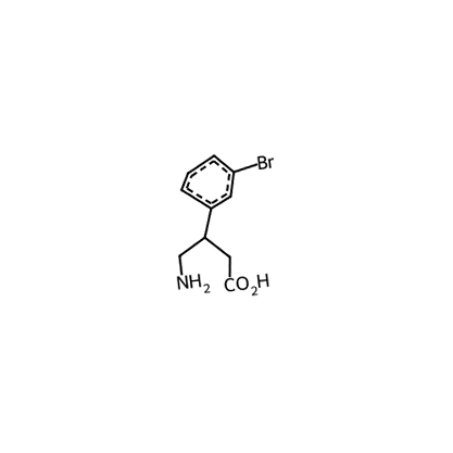 NCC(CC(=O)O)c1cccc(Br)c1